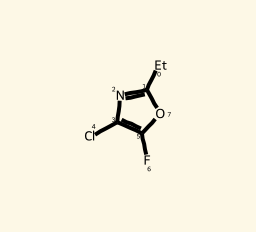 CCc1nc(Cl)c(F)o1